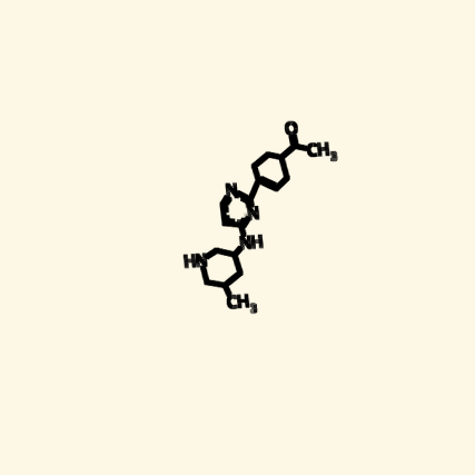 CC(=O)C1CC=C(c2nccc(NC3CNCC(C)C3)n2)CC1